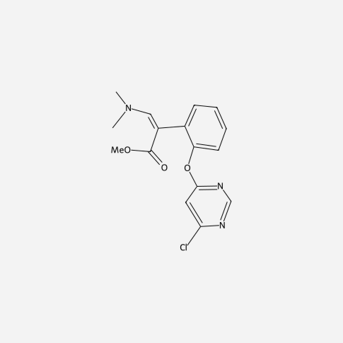 COC(=O)C(=CN(C)C)c1ccccc1Oc1cc(Cl)ncn1